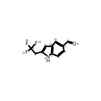 O=Cc1ccc2[nH]c(CC(F)(F)F)cc2c1